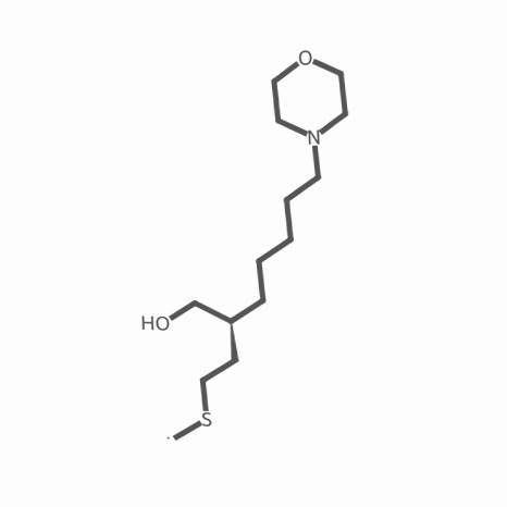 [CH2]SCC[C@@H](CO)CCCCCN1CCOCC1